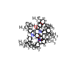 CC(C)(C)c1ccc(N2c3ccc(C(C)(C)C)cc3B3c4oc5cc6c(cc5c4N(c4cc5c(cc4-c4ccccc4)C(C)(C)CCC5(C)C)c4cc(-n5c7cc(C(C)(C)C)ccc7c7ccc(C(C)(C)C)cc75)cc2c43)C2(C)CCC6(C)CC2)cc1